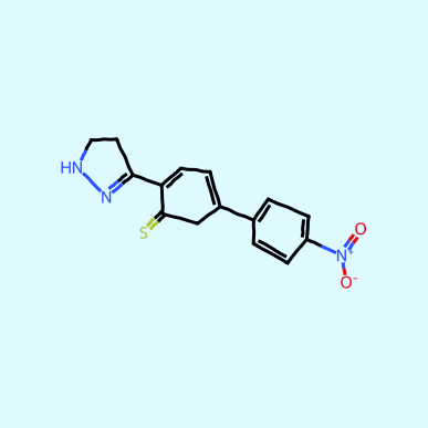 O=[N+]([O-])c1ccc(C2=CC=C(C3=NNCC3)C(=S)C2)cc1